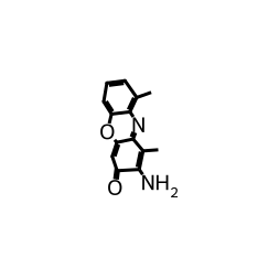 Cc1c2nc3c(C)cccc3oc-2cc(=O)c1N